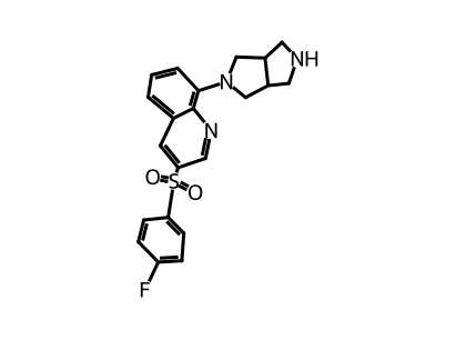 O=S(=O)(c1ccc(F)cc1)c1cnc2c(N3CC4CNCC4C3)cccc2c1